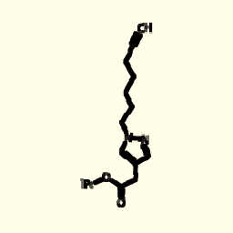 C#CCCCCCn1cc(CC(=O)OC(C)C)cn1